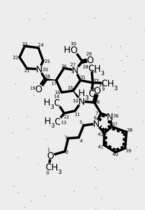 COCCCCn1c(C(=O)N(CC(C)C)[C@H]2C[C@@H](C(=O)N3CCCCC3)CN(C(=O)O)C2C(C)(C)C)nc2ccccc21